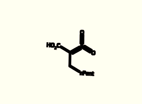 CCCCCCC(C(=O)O)=S(=O)=O